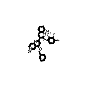 Cc1c(Oc2nc3ccccc3cc2-c2cc(OCc3ccccc3)c3c[n+]([O-])ccc3n2)ccc(F)c1F